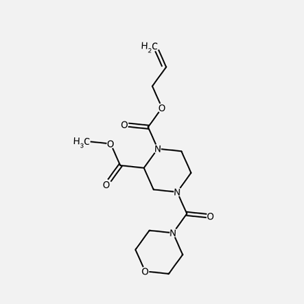 C=CCOC(=O)N1CCN(C(=O)N2CCOCC2)CC1C(=O)OC